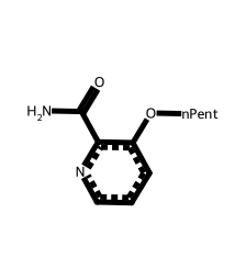 CCCCCOc1cccnc1C(N)=O